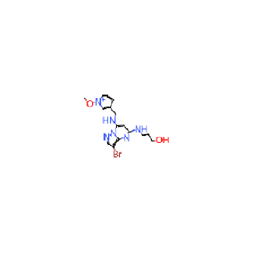 CO[n+]1cccc(CNc2cc(NCCCO)nc3c(Br)cnn23)c1